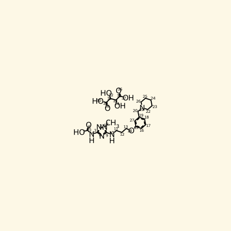 Cn1nc(NC(=O)O)nc1NCCCOc1cccc(CN2CCCCC2)c1.O=C(O)C(O)C(O)C(=O)O